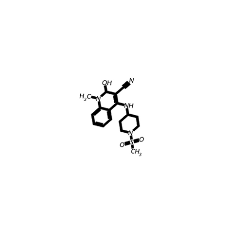 CN1c2ccccc2C(NC2CCN(S(C)(=O)=O)CC2)=C(C#N)C1O